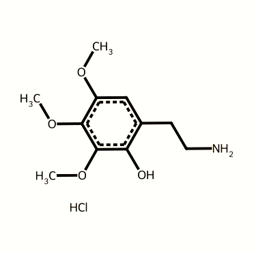 COc1cc(CCN)c(O)c(OC)c1OC.Cl